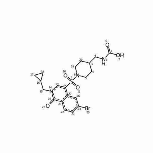 O=C(O)NCC1CCN(S(=O)(=O)c2cn(CC3CC3)c(=O)c3ccc(Br)cc23)CC1